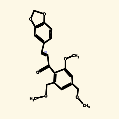 COCc1cc(COC)c(C(=O)/C=C/c2ccc3c(c2)OCO3)c(OC)c1